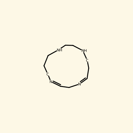 C1=NCC=NCCCNCCNCC1